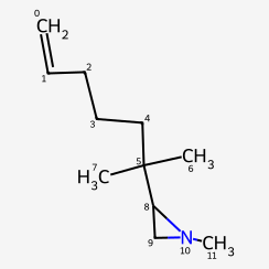 C=CCCCC(C)(C)C1CN1C